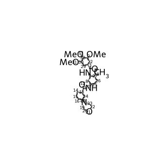 COc1cc(C(=O)Nc2cc(NC(=O)c3cccc(N4CCOCC4)c3)ccc2C)cc(OC)c1OC